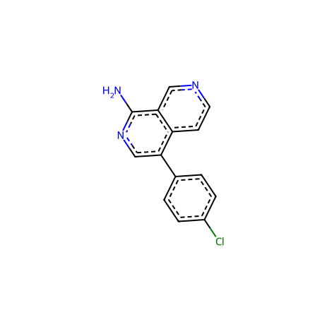 Nc1ncc(-c2ccc(Cl)cc2)c2ccncc12